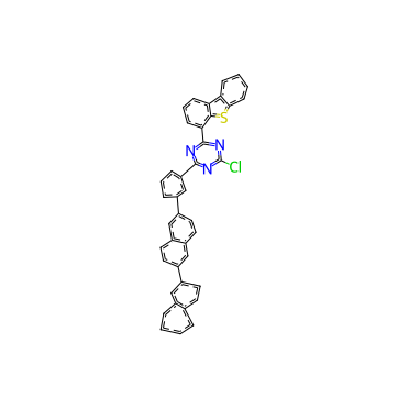 Clc1nc(-c2cccc(-c3ccc4cc(-c5ccc6ccccc6c5)ccc4c3)c2)nc(-c2cccc3c2sc2ccccc23)n1